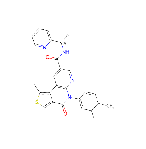 Cc1scc2c(=O)n(C3=CC(C)C(C(F)(F)F)C=C3)c3ncc(C(=O)N[C@@H](C)c4ccccn4)cc3c12